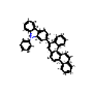 c1ccc(-n2c3ccccc3c3ccc(-c4cc5ccc6c7ccccc7ccc6c5c5ccccc45)cc32)cc1